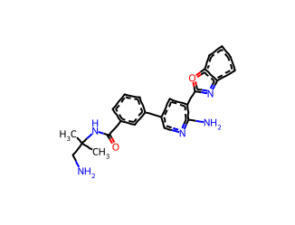 CC(C)(CN)NC(=O)c1cccc(-c2cnc(N)c(-c3nc4ccccc4o3)c2)c1